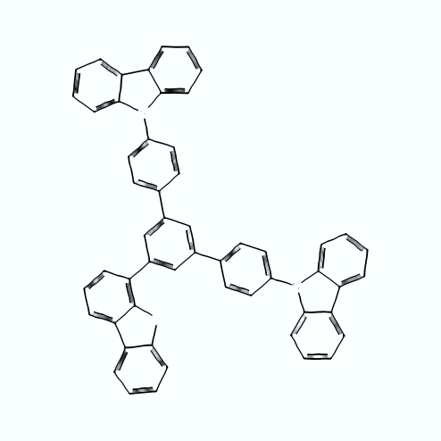 c1ccc2c(c1)oc1c(-c3cc(-c4ccc(-n5c6ccccc6c6ccccc65)cc4)cc(-c4ccc(-n5c6ccccc6c6ccccc65)cc4)c3)cccc12